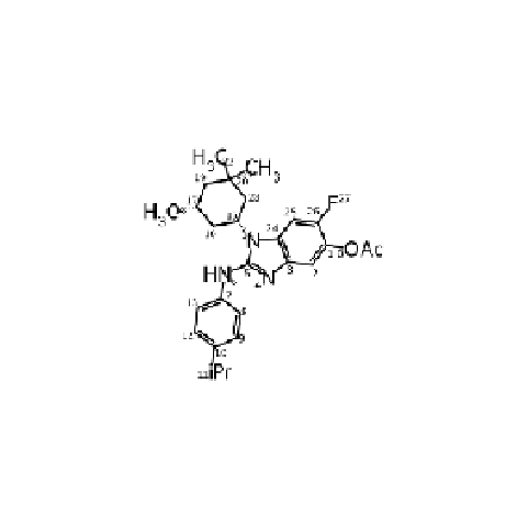 CC(=O)Oc1cc2nc(Nc3ccc(C(C)C)cc3)n([C@@H]3C[C@H](C)CC(C)(C)C3)c2cc1F